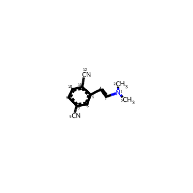 CN(C)/C=C/c1cc(C#N)ccc1C#N